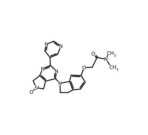 CN(C)C(=O)COc1ccc2c(c1)N(c1nc(-c3cncnc3)nc3c1C[S+]([O-])C3)CC2